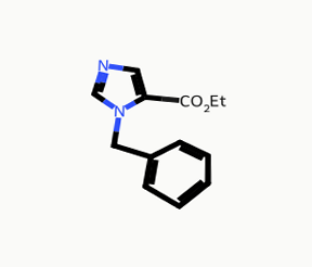 CCOC(=O)c1cncn1Cc1ccccc1